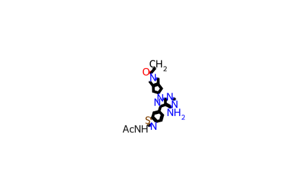 C=CC(=O)N1CC2=C(CC(n3nc(-c4ccc5nc(NC(C)=O)sc5c4)c4c(N)ncnc43)C2)C1